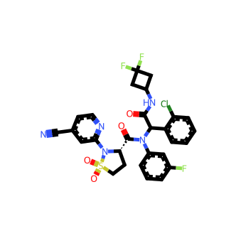 N#Cc1ccnc(N2[C@H](C(=O)N(c3cccc(F)c3)C(C(=O)NC3CC(F)(F)C3)c3ccccc3Cl)CCS2(=O)=O)c1